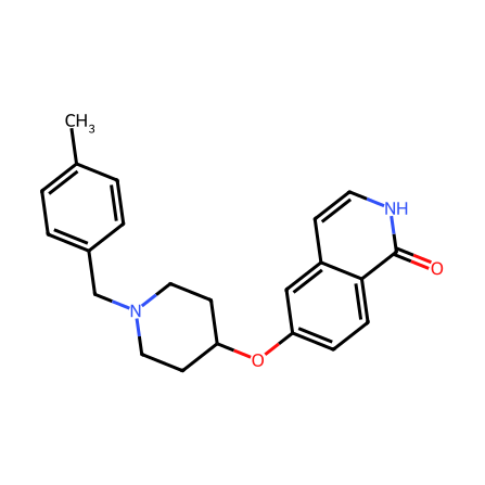 Cc1ccc(CN2CCC(Oc3ccc4c(=O)[nH]ccc4c3)CC2)cc1